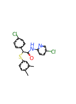 Cc1ccc(SC(C(=O)Nc2ccc(Cl)cn2)c2ccc(Cl)cc2)cc1C